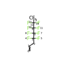 C=C[CH]C(F)(F)C(F)(F)C(F)(F)C(F)(F)C(F)(F)F